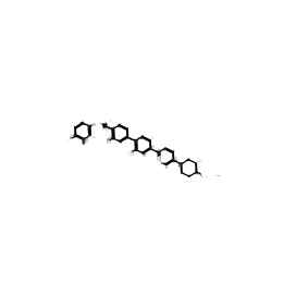 CCCCCC1CCC(c2ccc(-c3ccc(-c4ccc(C(F)(F)Oc5ccc(F)c(F)c5)c(F)c4)c(F)c3)nc2)CC1